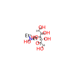 CCN(O)CC.O=C(CO)[C@@H](O)[C@H](O)[C@H](O)CO